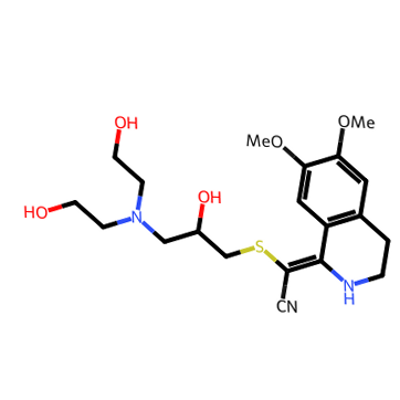 COc1cc2c(cc1OC)C(=C(C#N)SCC(O)CN(CCO)CCO)NCC2